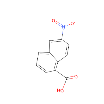 O=C(O)c1cccc2cc([N+](=O)[O-])ccc12